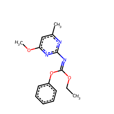 CCOC(=Nc1nc(C)cc(OC)n1)Oc1ccccc1